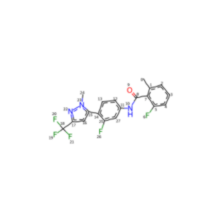 Cc1cccc(F)c1C(=O)Nc1ccc(-c2cc(C(F)(F)F)nn2C)c(F)c1